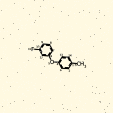 Cc1ccc(Oc2cccc(F)c2)cc1